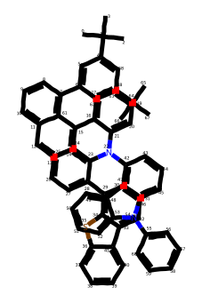 CC(C)(C)c1cc(-c2cccc3cccc(-c4ccccc4N(c4ccccc4-c4cccc5c4sc4ccccc45)c4cccc5c4c4ccccc4n5-c4ccccc4)c23)cc(C(C)(C)C)c1